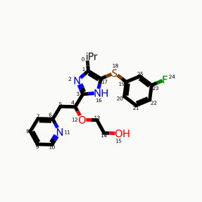 CC(C)c1nc(C(Cc2ccccn2)OCCO)[nH]c1Sc1cccc(F)c1